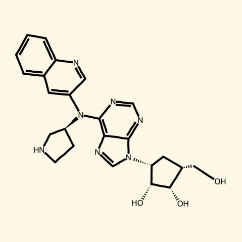 OC[C@H]1C[C@@H](n2cnc3c(N(c4cnc5ccccc5c4)[C@H]4CCNC4)ncnc32)[C@@H](O)[C@H]1O